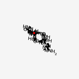 Nc1ncnc2c1ncn2[C@@H]1O[C@@H]2COP(=O)(O)O[C@@H]3[C@H](O)[C@@H](COP(=O)(O)O[C@H]2[C@H]1O)O[C@H]3n1ncc2c(=O)[nH]cnc21